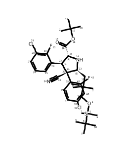 CC(C)(CO[Si](C)(C)C(C)(C)C)C[C@@H]1N[C@@H](C(=O)OC(C)(C)C)[C@H](c2cccc(Cl)c2F)[C@@]1(C#N)c1ccc(Cl)cc1F